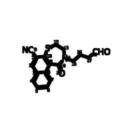 N#Cc1cc2ccccc2c2c1SCCN(CCCC=O)C2=O